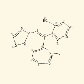 Cc1ccccc1C(=CC1C=CSC1)c1ccccc1C#N